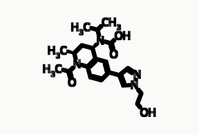 CC(=O)N1c2ccc(-c3cnn(CCO)c3)cc2[C@H](N(C(=O)O)C(C)C)C[C@@H]1C